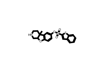 CC12CCNCC1Oc1ccc(OS(=O)(=O)c3cc4ccccc4s3)cc12